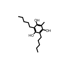 CCCCCc1c(O)c(C)c(O)c(CCCCC)c1O